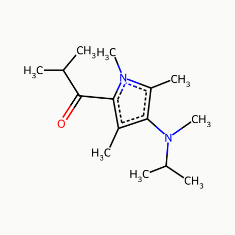 Cc1c(N(C)C(C)C)c(C)n(C)c1C(=O)C(C)C